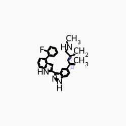 C=C/C(=C\C(=C/C)c1ccc2[nH]nc(-c3cc4c(-c5ccccc5F)cccc4[nH]3)c2c1)CNCC